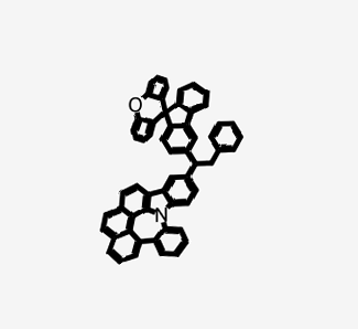 c1ccc(CC(c2ccc3c(c2)-c2ccccc2C32c3ccccc3Oc3ccccc32)c2ccc3c(c2)c2ccc4ccc5cccc6c7ccccc7n3c2c4c56)cc1